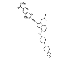 CNC(=O)c1ccc(NCC#Cc2sc3c(NC4CCC(N5CCC6(CC5)COC6)CC4)cccc3c2CC(F)F)c(OC)c1